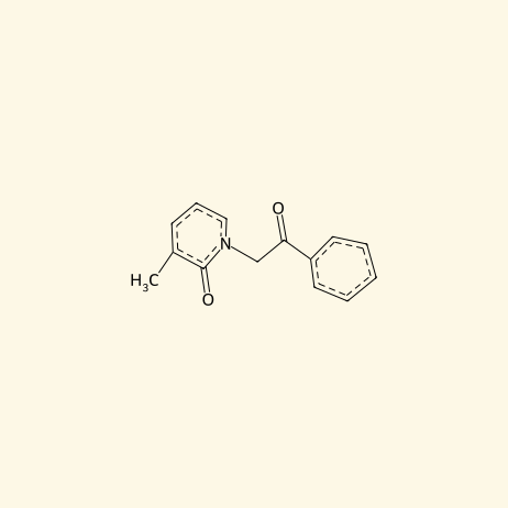 Cc1cccn(CC(=O)c2ccccc2)c1=O